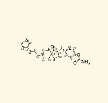 NC(=O)Oc1ccc(CN2CCC3(CCN(CC[CH]c4ccsc4)CC3)C2=O)cc1